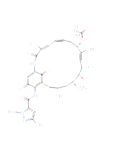 CO[C@H]1/C=C\C=C(/C)C(=O)NC2=CC(=O)C(NC(=O)c3cc(C)nn3C(C)(C)C)=C(C[C@@H](C)C[C@H](OC)[C@H](O)[C@@H](C)/C=C(\C)[C@@H]1OC(N)=O)C2=O